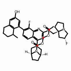 CC(=O)OCOC(=O)N1[C@@H]2CC[C@H]1CN(c1nc(OC[C@@]34CCCN3C[C@H](F)C4)nc3c(F)c(-c4cc(O)cc5c4C(C)CCC5)ccc13)C2